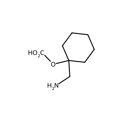 NCC1(OC(=O)O)CCCCC1